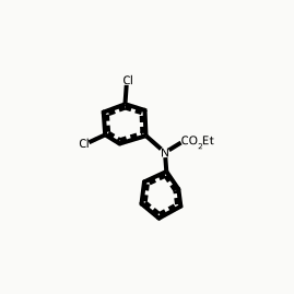 CCOC(=O)N(c1ccccc1)c1cc(Cl)cc(Cl)c1